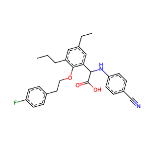 CCCc1cc(CC)cc(C(Nc2ccc(C#N)cc2)C(=O)O)c1OCCc1ccc(F)cc1